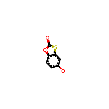 [O]c1ccc2oc(=O)sc2c1